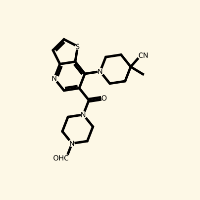 CC1(C#N)CCN(c2c(C(=O)N3CCN(C=O)CC3)cnc3ccsc23)CC1